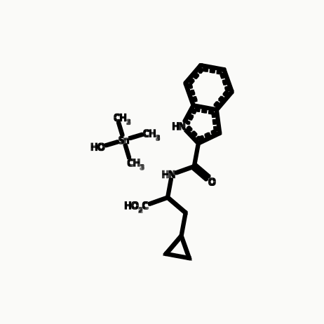 O=C(NC(CC1CC1)C(=O)O)c1cc2ccccc2[nH]1.[CH3][Sn]([CH3])([CH3])[OH]